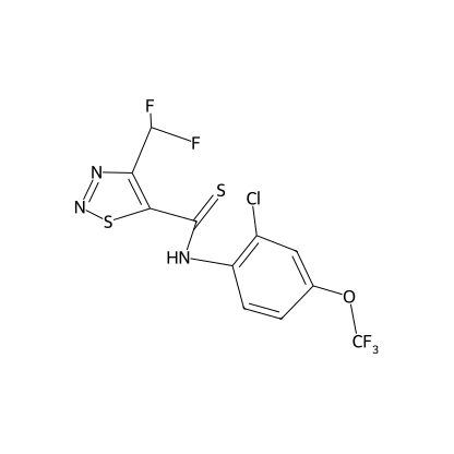 FC(F)c1nnsc1C(=S)Nc1ccc(OC(F)(F)F)cc1Cl